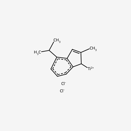 CC1=Cc2c(C(C)C)cccc2[CH]1[Ti+2].[Cl-].[Cl-]